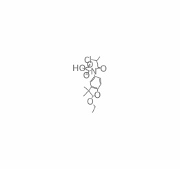 CCOC1Oc2ccc(N(C(=O)C(C)Cl)S(=O)(=O)O)cc2C1(C)C